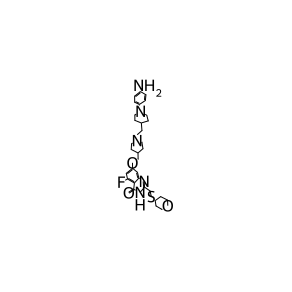 Nc1ccc(N2CCC(CCN3CCC(COc4cc(F)c5c(=O)[nH]c(CSC6CCOCC6)nc5c4)CC3)CC2)cc1